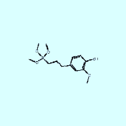 COc1cc(CCC[Si](OC)(OC)OC)ccc1O